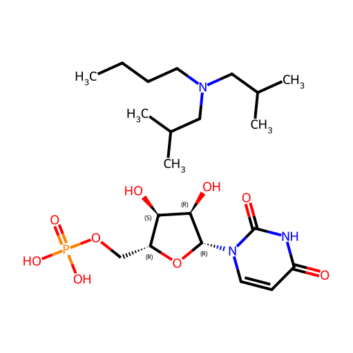 CCCCN(CC(C)C)CC(C)C.O=c1ccn([C@@H]2O[C@H](COP(=O)(O)O)[C@@H](O)[C@H]2O)c(=O)[nH]1